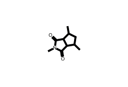 CC1CC(C)C2C(=O)N(C)C(=O)C12